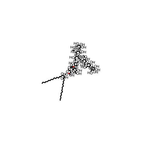 CCCCCCCCCCCCC/C=C/[C@@H](O)[C@H](CO[C@@H]1OC(CO)[C@@H](O[C@@H]2OC(CO)[C@H](O)[C@H](O[C@@H]3OC(CO)[C@@H](O[C@@H]4OC(CO[C@@H]5OC(CO)[C@@H](O[C@@H]6OC(CO)[C@H](O)[C@H](O[C@@H]7OC(CO)[C@H](O)[C@H](O)C7O)C6O)[C@H](O)C5NC(C)=O)[C@H](O)[C@H](O[C@@H]5OC(CO)[C@@H](O[C@@H]6OC(CO)[C@H](O)[C@H](O)C6O)[C@H](O)C5NC(C)=O)C4O)[C@H](O)C3NC(C)=O)C2O)[C@H](O)C1O)NC(=O)CCCCCCCCCCCCCCC